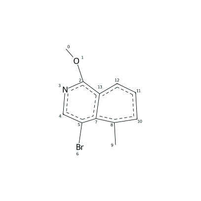 COc1ncc(Br)c2c(C)cccc12